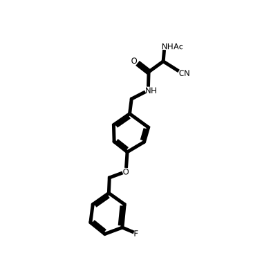 CC(=O)NC(C#N)C(=O)NCc1ccc(OCc2cccc(F)c2)cc1